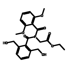 CCOC(=O)CP(C(=O)c1c(CO)cccc1CO)C(=O)c1c(OC)cccc1OC